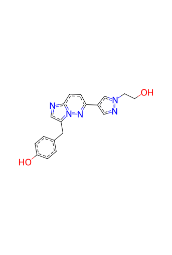 OCCn1cc(-c2ccc3ncc(Cc4ccc(O)cc4)n3n2)cn1